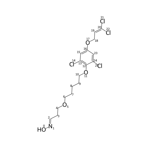 ON=CCCOCCCCCOc1c(Cl)cc(OCC=C(Cl)Cl)cc1Cl